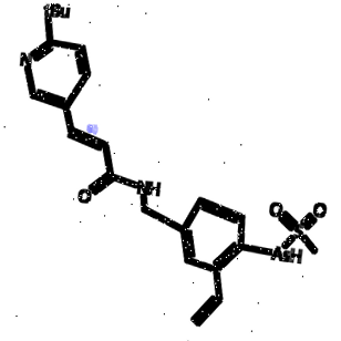 C=Cc1cc(CNC(=O)/C=C/c2ccc(C(C)(C)C)nc2)ccc1[AsH]S(C)(=O)=O